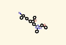 N#Cc1ccc(-c2ccc(-c3ccc4c5ccc(C6=NC(c7ccccc7)NC(c7ccc8oc9ccccc9c8c7)=N6)cc5c5oc6ccccc6c5c4c3)cc2)c2ccccc12